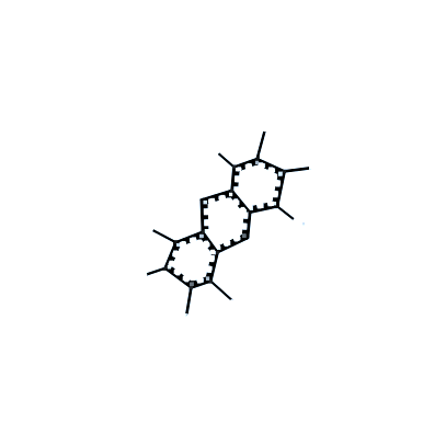 Oc1c(F)c(F)c2cc3c(O)c(F)c(F)c(F)c3cc2c1F